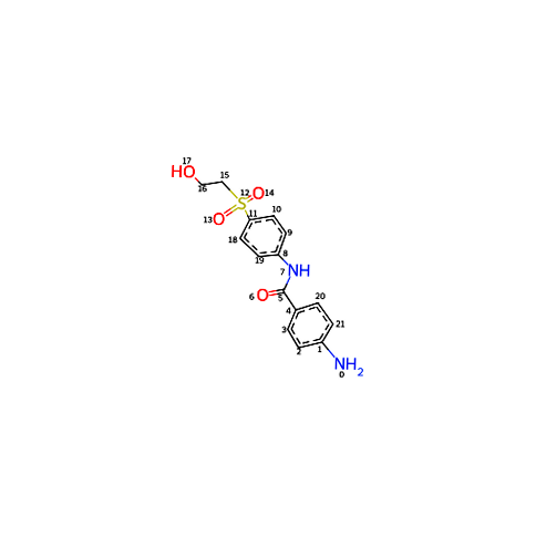 Nc1ccc(C(=O)Nc2ccc(S(=O)(=O)CCO)cc2)cc1